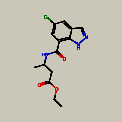 CCOC(=O)CC(C)NC(=O)c1cc(Cl)cc2cn[nH]c12